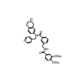 COc1ccc(C(=O)NCc2cccc(C(=O)N(Cc3ccncc3)c3ccc4c(c3)CNCC4)c2)cc1OC